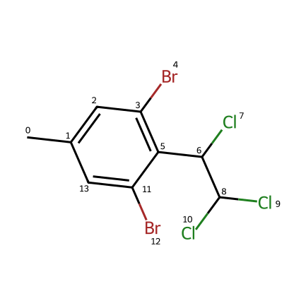 Cc1cc(Br)c(C(Cl)C(Cl)Cl)c(Br)c1